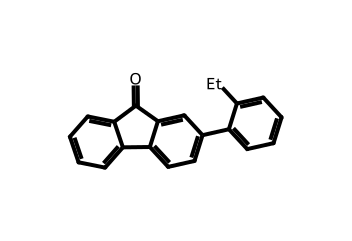 CCc1ccccc1-c1ccc2c(c1)C(=O)c1ccccc1-2